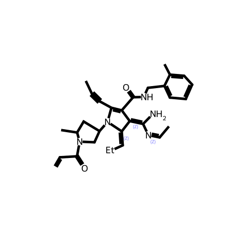 C=CC(=O)N1CC(n2c(C#CC)c(C(=O)NCc3ccccc3C)c(=C(N)/N=C\C)/c2=C/CC)CC1C